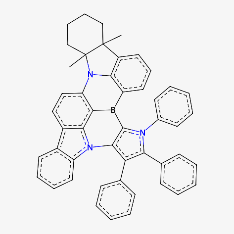 CC12CCCCC1(C)N1c3ccc4c5ccccc5n5c4c3B(c3cccc2c31)c1c-5c(-c2ccccc2)c(-c2ccccc2)n1-c1ccccc1